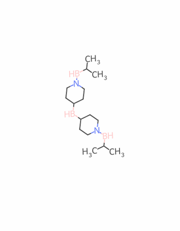 CC(C)BN1CCC(BC2CCN(BC(C)C)CC2)CC1